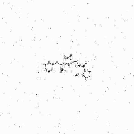 CC(=O)C1CCCN1C(=O)NCc1nc([C@@H](N)Cc2ccccc2)no1